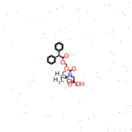 CC(C)(C)N(CC(=O)O)C(=O)OCOC(=O)C(c1ccccc1)c1ccccc1